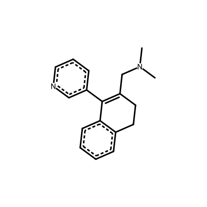 CN(C)CC1=C(c2cccnc2)c2ccccc2CC1